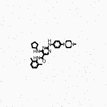 Cc1cccc(C)c1NC(=O)c1cnc(Nc2ccc(N3CCN(C)CC3)cc2)nc1NC1CCCC1